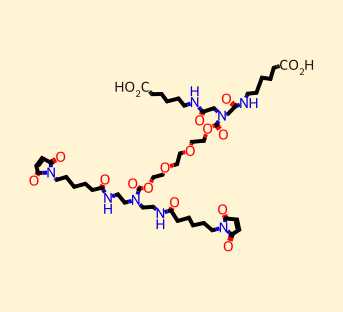 O=C(O)CCCCCNC(=O)CN(CC(=O)NCCCCCC(=O)O)C(=O)OCCOCCOCCOC(=O)N(CCNC(=O)CCCCCN1C(=O)C=CC1=O)CCNC(=O)CCCCCN1C(=O)C=CC1=O